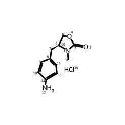 CN1C(=O)OC[C@@H]1Cc1ccc(N)cc1.Cl